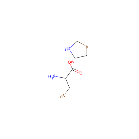 C1CSCN1.NC(CS)C(=O)O